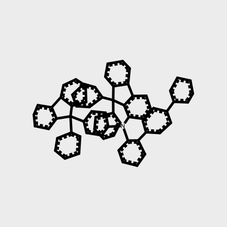 c1ccc(-c2ccc(-c3ccccc3N(c3ccc(C4(c5ccccc5)c5ccccc5-c5ccccc54)cc3)c3cccc4c3C(c3ccccc3)(c3ccccc3)c3ccccc3-4)cc2)cc1